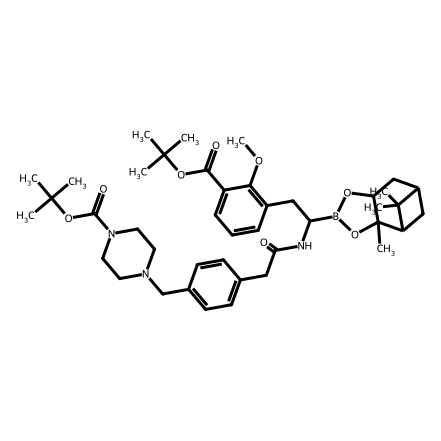 COc1c(CC(NC(=O)Cc2ccc(CN3CCN(C(=O)OC(C)(C)C)CC3)cc2)B2OC3CC4CC(C4(C)C)C3(C)O2)cccc1C(=O)OC(C)(C)C